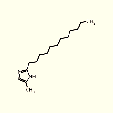 CCCCCCCCCCCCc1ncc(C)[nH]1